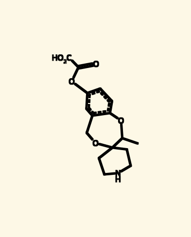 CC1Oc2ccc(OC(=O)C(=O)O)cc2COC12CCNCC2